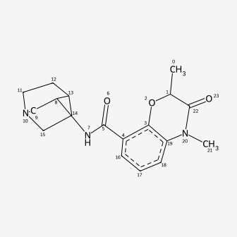 CC1Oc2c(C(=O)NC3CN4CCC3CC4)cccc2N(C)C1=O